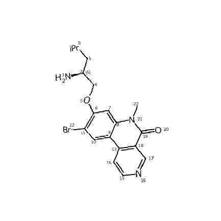 CC(C)C[C@H](N)COc1cc2c(cc1Br)c1ccncc1c(=O)n2C